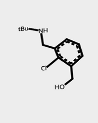 CC(C)(C)NCc1cccc(CO)c1Cl